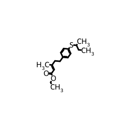 CCOC(=O)C=C(C)CCc1ccc(SC(C)CC)cc1